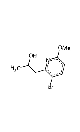 COc1ccc(Br)c(CC(C)O)n1